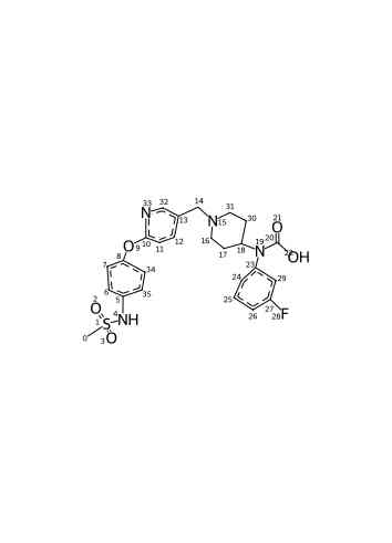 CS(=O)(=O)Nc1ccc(Oc2ccc(CN3CCC(N(C(=O)O)c4cccc(F)c4)CC3)cn2)cc1